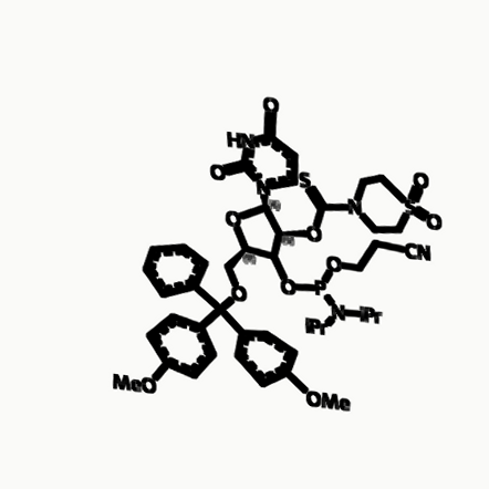 COc1ccc(C(OC[C@H]2O[C@@H](n3ccc(=O)[nH]c3=O)[C@@H](OC(=S)N3CCS(=O)(=O)CC3)C2OP(OCCC#N)N(C(C)C)C(C)C)(c2ccccc2)c2ccc(OC)cc2)cc1